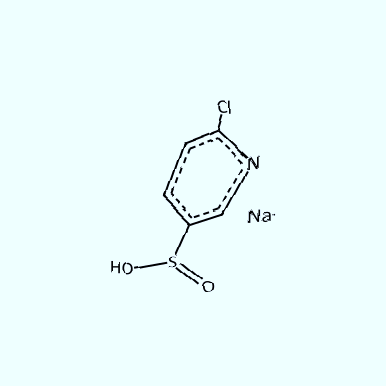 O=S(O)c1ccc(Cl)nc1.[Na]